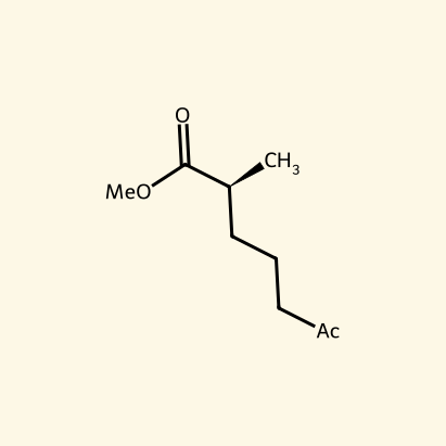 COC(=O)[C@@H](C)CCCC(C)=O